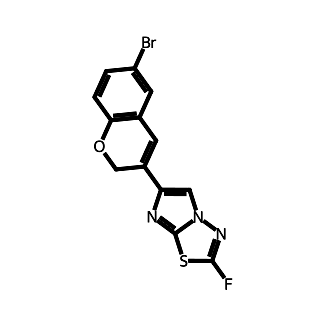 Fc1nn2cc(C3=Cc4cc(Br)ccc4OC3)nc2s1